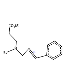 CCOC(=O)CCN(CC)C/C=C/c1ccccc1